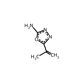 C=C(C)c1nnc(N)o1